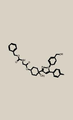 Cc1ccc(-c2cc(C3(O)CCC(OC(=O)CNC(=O)OCc4ccccc4)CC3)nn2-c2ccc(CO)cc2)cc1